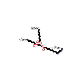 CCCCC/C=C\C/C=C\CCCCCCCC(=O)OC[C@@H](COC(=O)CCCCCCCCCCCCCCC)OC(=O)CCCCCCCCCCCCCCCCC